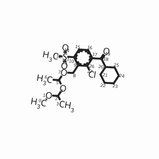 COC(C)OC(C)OCc1c(S(C)(=O)=O)ccc(C(=O)C2CCCCC2)c1Cl